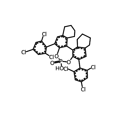 O=P1(O)Oc2c(-c3c(Cl)cc(Cl)cc3Cl)cc3c(c2-c2c4c(cc(-c5c(Cl)cc(Cl)cc5Cl)c2O1)CCCC4)CCCC3